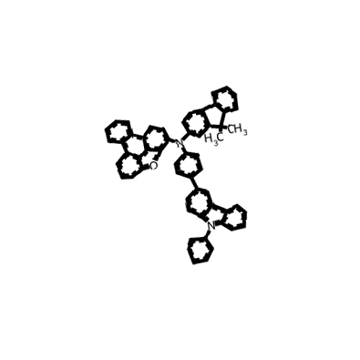 CC1(C)c2ccccc2-c2ccc(N(c3ccc(-c4ccc5c(c4)c4ccccc4n5-c4ccccc4)cc3)c3ccc4c5ccccc5c5cccc6oc3c4c65)cc21